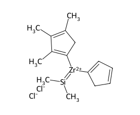 CC1=C(C)C(C)=[C]([Zr+2]([C]2=CC=CC2)=[Si](C)C)C1.[Cl-].[Cl-]